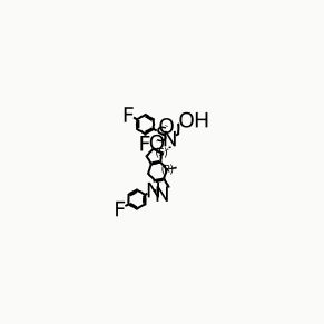 C[C@@H]1C2=C(CC[C@@H]2CN(CCO)S(=O)(=O)c2ccc(F)cc2F)Cc2c1cnn2-c1ccc(F)cc1